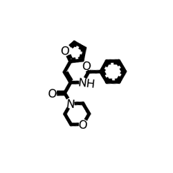 O=C(N/C(=C\c1ccco1)C(=O)N1CCOCC1)c1ccccc1